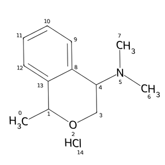 CC1OCC(N(C)C)c2ccccc21.Cl